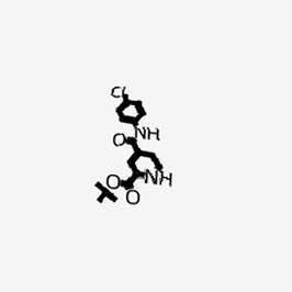 CC(C)(C)OC(=O)C1CC(C(=O)Nc2ccc(Cl)cc2)CCN1